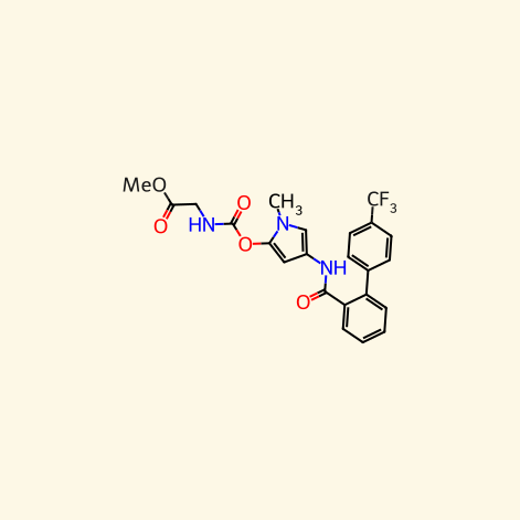 COC(=O)CNC(=O)Oc1cc(NC(=O)c2ccccc2-c2ccc(C(F)(F)F)cc2)cn1C